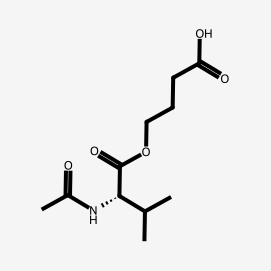 CC(=O)N[C@H](C(=O)OCCCC(=O)O)C(C)C